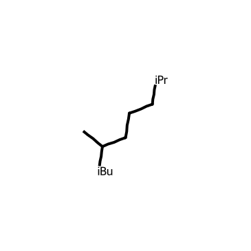 [CH2]C(C)CCCC(C)C(C)CC